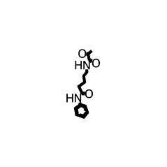 CC(=O)C(=O)NCCCCC(=O)Nc1ccccc1